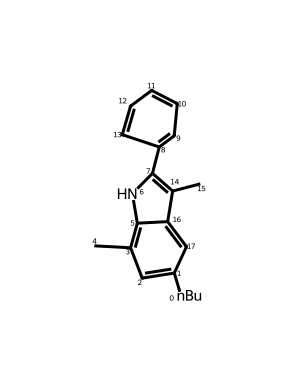 CCCCc1cc(C)c2[nH]c(-c3ccccc3)c(C)c2c1